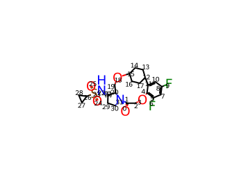 O=C1COc2c(F)cc(F)cc2C2CCC(CC2)OCC2[C@@H](NS(=O)(=O)C3CC3)CCN12